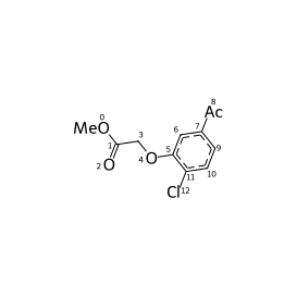 COC(=O)COc1cc(C(C)=O)ccc1Cl